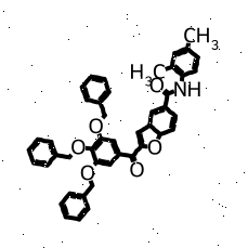 Cc1ccc(NC(=O)C2=CC3C=C(C(=O)c4cc(OCc5ccccc5)c(OCc5ccccc5)c(OCc5ccccc5)c4)OC3C=C2)c(C)c1